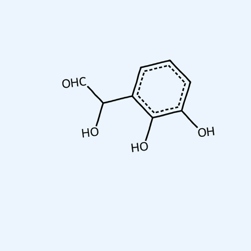 O=CC(O)c1cccc(O)c1O